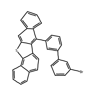 Brc1cccc(-c2cccc(-c3c4ccccc4cc4sc5c6ccccc6ccc5c34)c2)c1